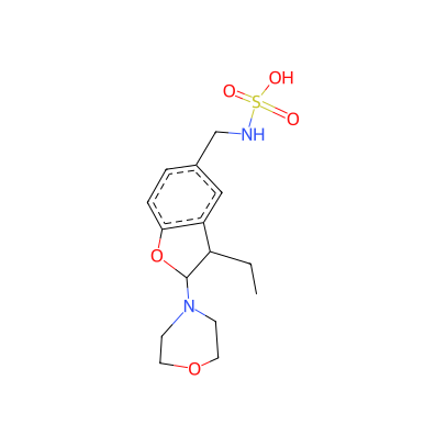 CCC1c2cc(CNS(=O)(=O)O)ccc2OC1N1CCOCC1